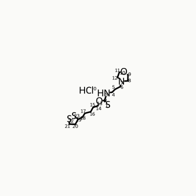 Cl.S=C(NCCCN1CCOCC1)OCCCCCC1CCSS1